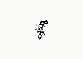 CC(C)c1ccc2c(c1NC(=O)N=S(N)(=O)c1cnn3c1OCCC3)CC2